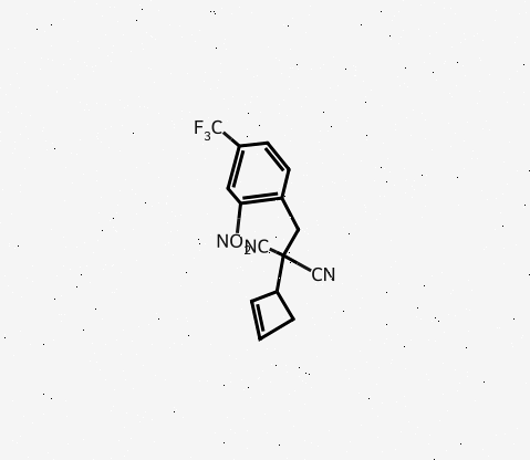 N#CC(C#N)(Cc1ccc(C(F)(F)F)cc1[N+](=O)[O-])C1C=CC1